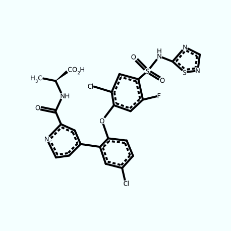 C[C@H](NC(=O)c1cc(-c2cc(Cl)ccc2Oc2cc(F)c(S(=O)(=O)Nc3ncns3)cc2Cl)ccn1)C(=O)O